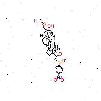 COC[C@@]1(O)CC[C@@]2(C)[C@@H](CC[C@@H]3[C@@H]2CC[C@]2(C)[C@@H](C(=O)C[S+]([O-])c4ccc([N+](=O)[O-])cc4)CC[C@@H]32)C1